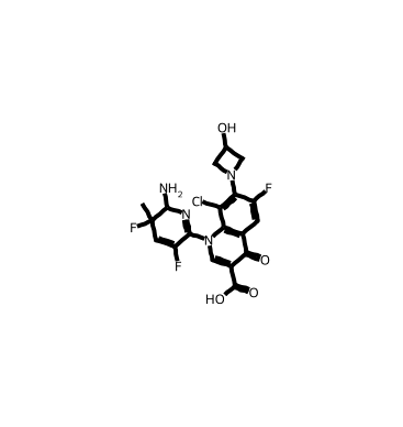 CC1(F)C=C(F)C(n2cc(C(=O)O)c(=O)c3cc(F)c(N4CC(O)C4)c(Cl)c32)=NC1N